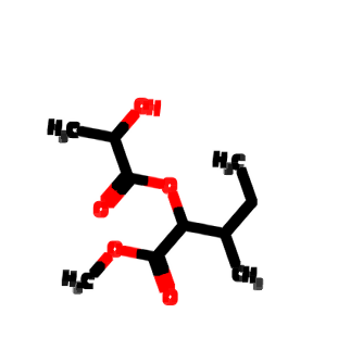 CCC(C)C(OC(=O)C(C)O)C(=O)OC